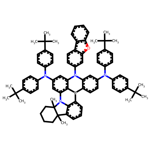 CC(C)(C)c1ccc(N(c2ccc(C(C)(C)C)cc2)c2ccc3c(c2)N(c2ccc4c(c2)oc2ccccc24)c2cc(N(c4ccc(C(C)(C)C)cc4)c4ccc(C(C)(C)C)cc4)cc4c2B3c2cccc3c2N4C2(C)CCCCC32C)cc1